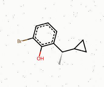 C[C@H](c1cccc(Br)c1O)C1CC1